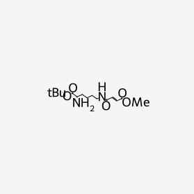 COC(=O)/C=C/C(=O)NCCCC[C@H](N)C(=O)OC(C)(C)C